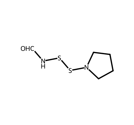 O=CNSSN1CCCC1